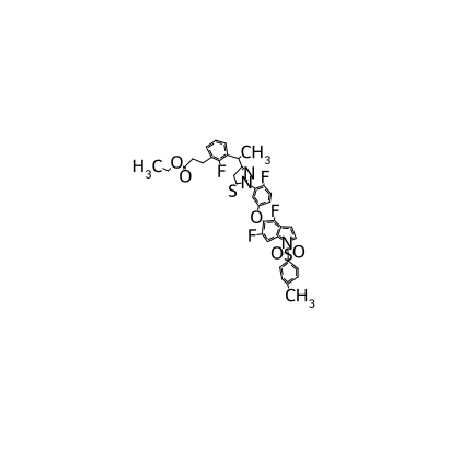 CCOC(=O)CCc1cccc(C(C)C2=NN(c3cc(Oc4c(F)cc5c(ccn5S(=O)(=O)c5ccc(C)cc5)c4F)ccc3F)C(=S)C2)c1F